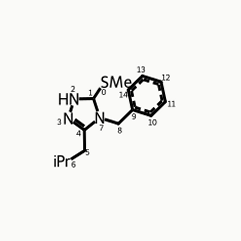 CSC1NN=C(CC(C)C)N1Cc1ccccc1